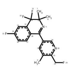 Cc1cc(C2=NC(C)(C)C(F)(F)c3cc(F)ccc32)cnc1CF